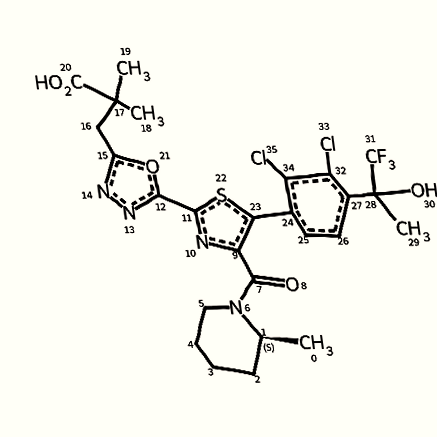 C[C@H]1CCCCN1C(=O)c1nc(-c2nnc(CC(C)(C)C(=O)O)o2)sc1-c1ccc(C(C)(O)C(F)(F)F)c(Cl)c1Cl